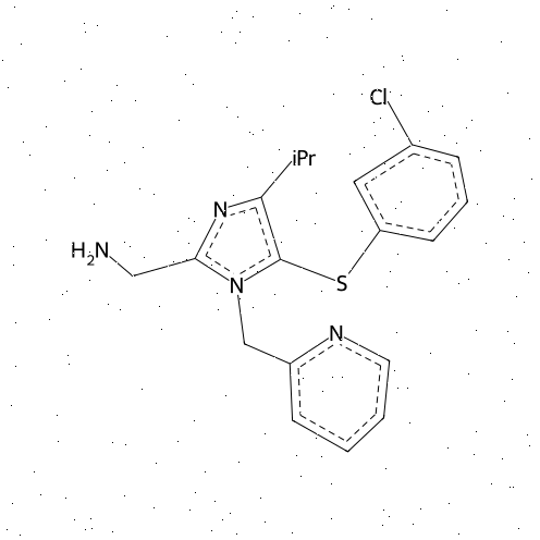 CC(C)c1nc(CN)n(Cc2ccccn2)c1Sc1cccc(Cl)c1